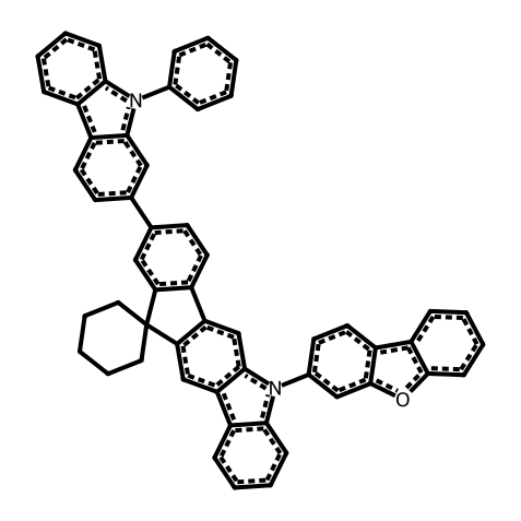 c1ccc(-n2c3ccccc3c3ccc(-c4ccc5c(c4)C4(CCCCC4)c4cc6c7ccccc7n(-c7ccc8c(c7)oc7ccccc78)c6cc4-5)cc32)cc1